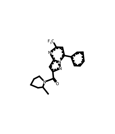 CC1CCCCN1C(=O)c1cc2nc(C(F)(F)F)cc(-c3ccccc3)n2n1